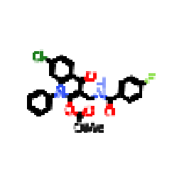 COC(=O)Oc1c(CNC(=O)c2ccc(F)cc2)c(=O)c2ccc(Cl)cc2n1-c1ccccc1